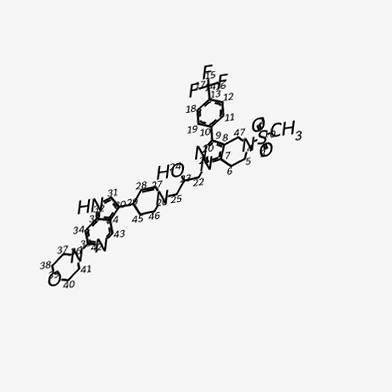 CS(=O)(=O)N1CCc2c(c(-c3ccc(C(F)(F)F)cc3)nn2CC(O)CN2C=CC(c3c[nH]c4cc(N5CCOCC5)ncc34)CC2)C1